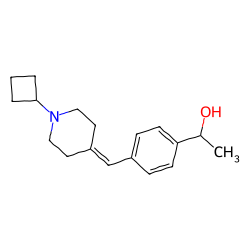 CC(O)c1ccc(C=C2CCN(C3CCC3)CC2)cc1